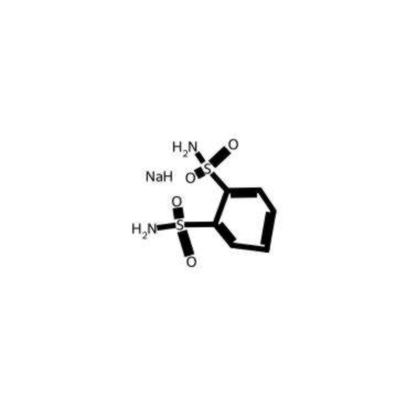 NS(=O)(=O)c1ccccc1S(N)(=O)=O.[NaH]